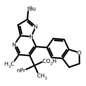 CCCC(C)(C(=O)O)c1c(C)nc2cc(C(C)(C)C)nn2c1-c1ccc2c(c1)CCO2